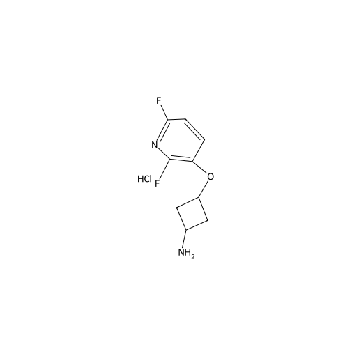 Cl.NC1CC(Oc2ccc(F)nc2F)C1